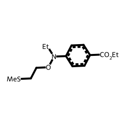 CCOC(=O)c1ccc(N(CC)OCCSC)cc1